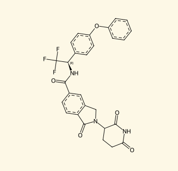 O=C1CCC(N2Cc3cc(C(=O)N[C@H](c4ccc(Oc5ccccc5)cc4)C(F)(F)F)ccc3C2=O)C(=O)N1